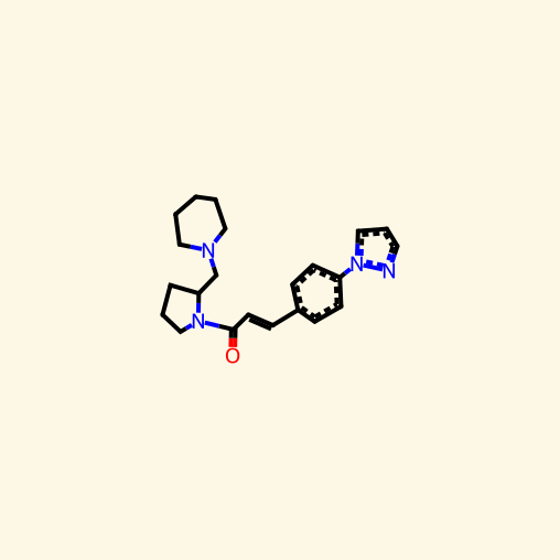 O=C(C=Cc1ccc(-n2cccn2)cc1)N1CCCC1CN1CCCCC1